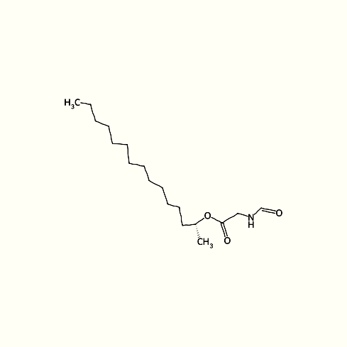 CCCCCCCCCCCCC[C@@H](C)OC(=O)CNC=O